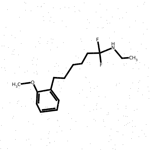 CCNC(F)(F)CCCCCc1ccccc1OC